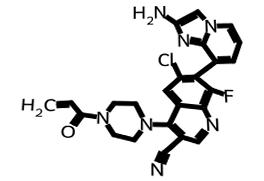 C=CC(=O)N1CCN(c2c(C#N)cnc3c(F)c(-c4cccn5cc(N)nc45)c(Cl)cc23)CC1